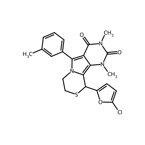 Cc1cccc(-c2c3c(=O)n(C)c(=O)n(C)c3c3n2CCSC3c2ccc(Cl)o2)c1